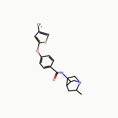 CC1CC2CCN1CC2NC(=O)c1ccc(Oc2cc(C(F)(F)F)cs2)cc1